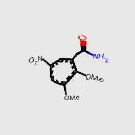 COc1cc([N+](=O)[O-])cc(C(N)=O)c1OC